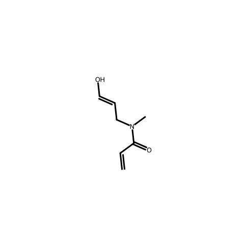 C=CC(=O)N(C)CC=CO